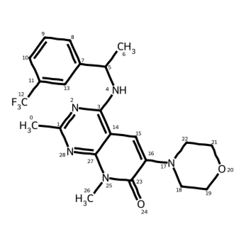 Cc1nc(NC(C)c2cccc(C(F)(F)F)c2)c2cc(N3CCOCC3)c(=O)n(C)c2n1